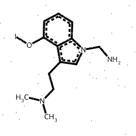 CN(C)CCc1cn(CN)c2cccc(OI)c12